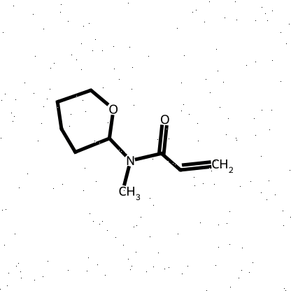 C=CC(=O)N(C)C1CCCCO1